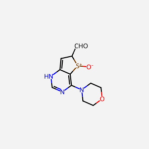 O=CC1C=C2NC=NC(N3CCOCC3)=C2[S+]1[O-]